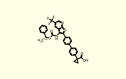 C[C@@H](OC(=O)Nc1c(-c2ccc(-c3ccc(C4(C(=O)O)CC4)cc3)cc2)sc2ncc(C(F)(F)F)cc12)c1ccccc1